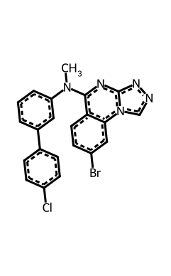 CN(c1cccc(-c2ccc(Cl)cc2)c1)c1nc2nncn2c2cc(Br)ccc12